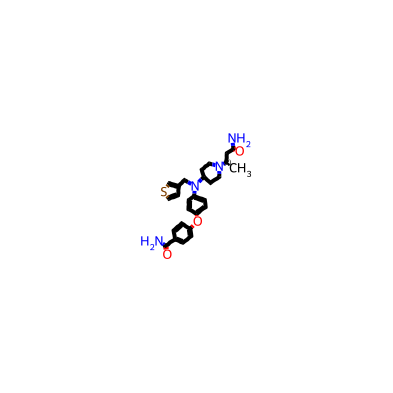 C[C@H](CC(N)=O)N1CCC(N(Cc2ccsc2)c2ccc(Oc3ccc(C(N)=O)cc3)cc2)CC1